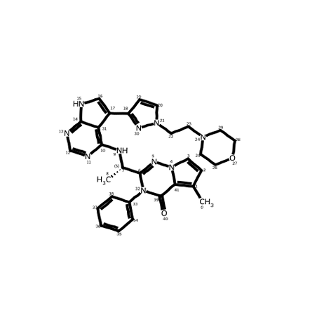 Cc1ccn2nc([C@H](C)Nc3ncnc4[nH]cc(-c5ccn(CCN6CCOCC6)n5)c34)n(-c3ccccc3)c(=O)c12